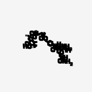 [CH2]C1(C)C=C2C(=O)[C@](C)(O)C3(CC3)C(C)=C2C1OC(=O)N(C)CCN(C)C(=O)OCc1ccc(NC(=O)[C@H](CCCNC(N)=O)NC(=O)[C@@H](N)C(C)C)cc1